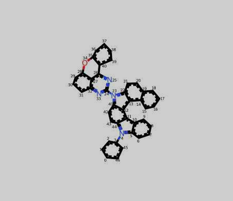 c1ccc(-n2c3ccccc3c3c4c5c6ccccc6ccc5n(-c5nc6c7c(cccc7n5)Oc5ccccc5-6)c4ccc32)cc1